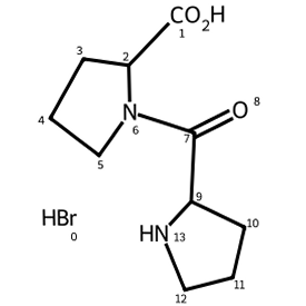 Br.O=C(O)C1CCCN1C(=O)C1CCCN1